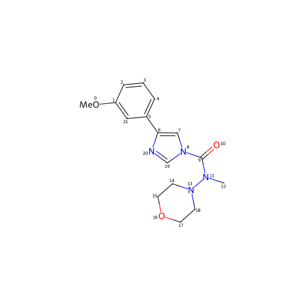 COc1cccc(-c2cn(C(=O)N(C)N3CCOCC3)cn2)c1